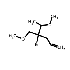 C=CCC(Br)(COC)C(C)OC